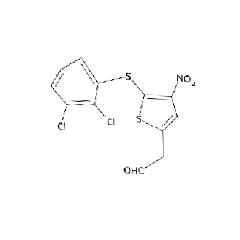 O=CCc1cc([N+](=O)[O-])c(Sc2cccc(Cl)c2Cl)s1